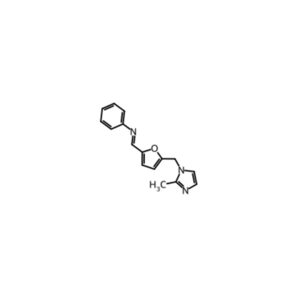 Cc1nccn1Cc1ccc(C=Nc2ccccc2)o1